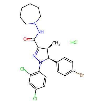 C[C@@H]1C(C(=O)NN2CCCCCC2)=NN(c2ccc(Cl)cc2Cl)[C@@H]1c1ccc(Br)cc1.Cl